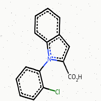 O=C(O)c1cc2ccccc2n1-c1ccccc1Cl